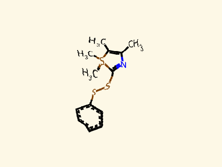 CC1=C(C)S(C)(C)C(SSc2ccccc2)=N1